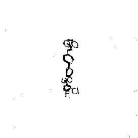 O=C(O[C@H]1CC[C@H]([C@H]2CC[C@H](CCC3OCCO3)CC2)CC1)c1ccc(F)c(Cl)c1